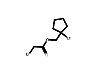 CCC1(COC(=O)CBr)CCCC1